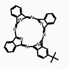 CC(C)(C)c1ccc2c3nc4nc(nc5[nH]c(nc6nc(nc([nH]3)c2c1)-c1ccccc1-6)c1ccccc51)-c1ccccc1-4